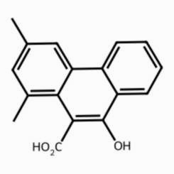 Cc1cc(C)c2c(C(=O)O)c(O)c3ccccc3c2c1